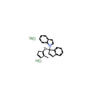 CC1=[C]([Zr][C]2(n3ccc4ccccc43)C=Cc3ccccc32)CC=C1.Cl.Cl